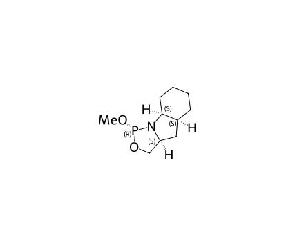 CO[P@@]1OC[C@@H]2C[C@@H]3CCCC[C@@H]3N21